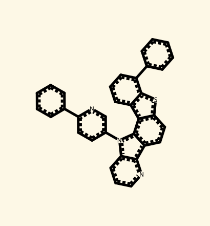 c1ccc(-c2ccc(-n3c4cccnc4c4ccc5sc6c(-c7ccccc7)cccc6c5c43)cn2)cc1